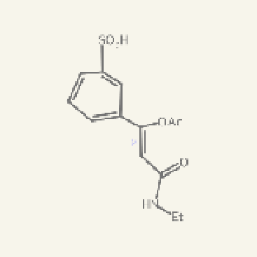 CCNC(=O)/C=C(\OC(C)=O)c1cccc(S(=O)(=O)O)c1